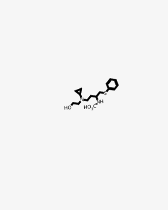 O=C(O)NC(CCN(CCO)C1CC1)CSc1ccccc1